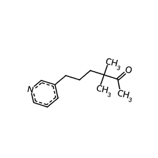 CC(=O)C(C)(C)CCCc1cccnc1